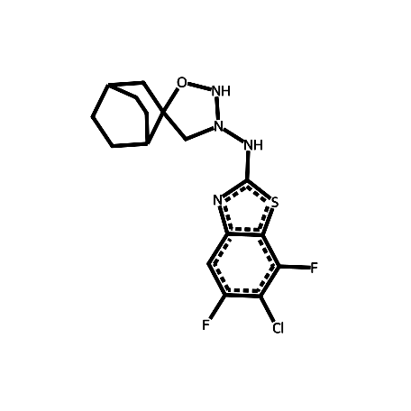 Fc1cc2nc(NN3CC4(CC5CCC4CC5)ON3)sc2c(F)c1Cl